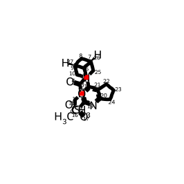 CCOC(=O)CC1[C@@H]2C[C@H]1CN(c1nc(S(C)(=O)=O)nc3c1CCC3)C2